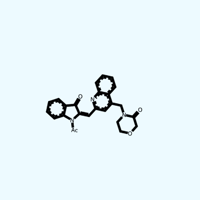 CC(=O)N1C(=Cc2cc(CN3CCOCC3=O)c3ccccc3n2)C(=O)c2ccccc21